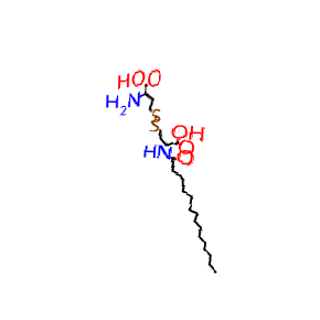 CCCCCCCCCCCCCCC(=O)NC(CCSSCCC(N)C(=O)O)C(=O)O